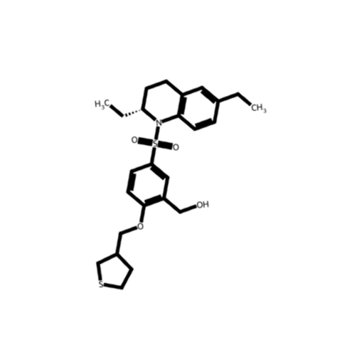 CCc1ccc2c(c1)CC[C@@H](CC)N2S(=O)(=O)c1ccc(OCC2CCSC2)c(CO)c1